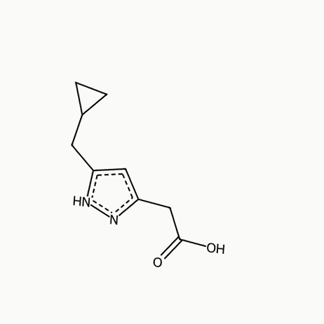 O=C(O)Cc1cc(CC2CC2)[nH]n1